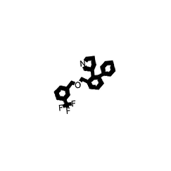 FC(F)(F)c1cccc(COCc2cccc(-c3ccccc3)c2-c2cccnc2)c1